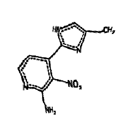 Cc1c[nH]c(-c2ccnc(N)c2[N+](=O)[O-])n1